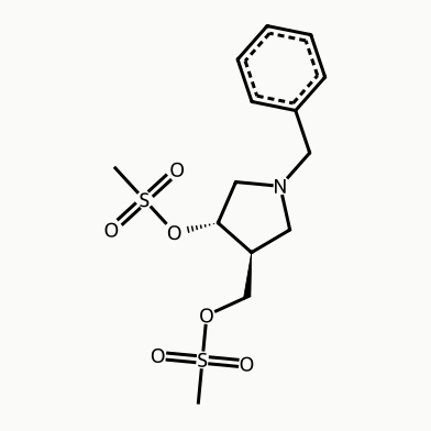 CS(=O)(=O)OC[C@@H]1CN(Cc2ccccc2)C[C@H]1OS(C)(=O)=O